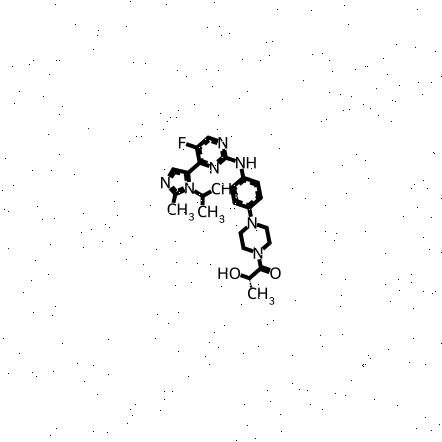 Cc1ncc(-c2nc(Nc3ccc(N4CCN(C(=O)[C@H](C)O)CC4)cc3)ncc2F)n1C(C)C